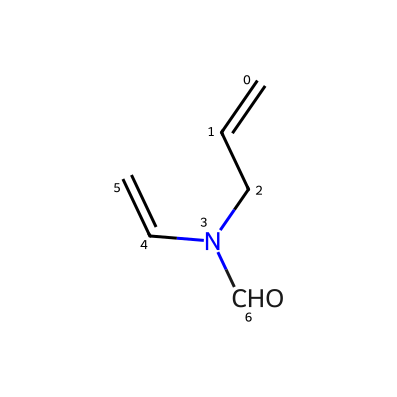 C=CCN(C=C)C=O